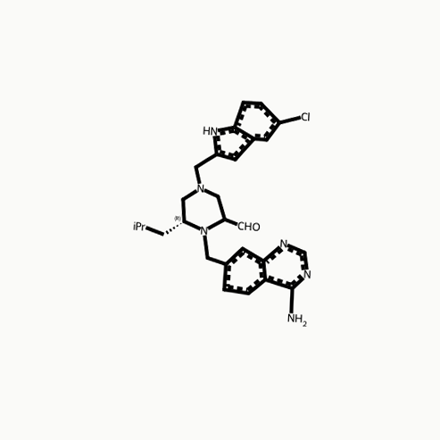 CC(C)C[C@@H]1CN(Cc2cc3cc(Cl)ccc3[nH]2)CC(C=O)N1Cc1ccc2c(N)ncnc2c1